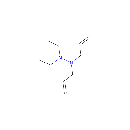 C=CCN(CC=C)N(CC)CC